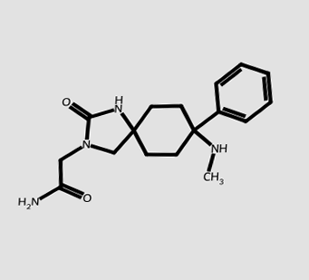 CNC1(c2ccccc2)CCC2(CC1)CN(CC(N)=O)C(=O)N2